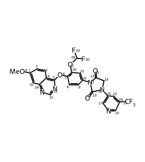 COc1ccc2c(Oc3ccc(N4C(=O)CN(c5cncc(C(F)(F)F)c5)C4=O)cc3OC(F)F)ncnc2c1